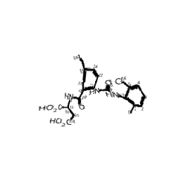 Cc1cccc(Cl)c1NC(=O)Nc1ccc(I)cc1C(=O)N[C@@H](CC(=O)O)C(=O)O